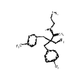 C=C(NCCN)C(CN)(Cc1ccc(C(F)(F)F)cc1)Cc1ccc(C(F)(F)F)cc1